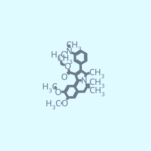 CCOC(=O)C1=C(c2cccc(N(C)C)c2)C(C)N2C1=C1C=C(OC)C(OC)C=C1CC2(C)C